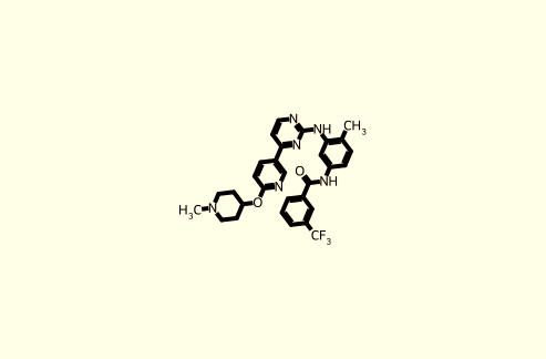 Cc1ccc(NC(=O)c2cccc(C(F)(F)F)c2)cc1Nc1nccc(-c2ccc(OC3CCN(C)CC3)nc2)n1